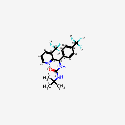 CC(C)(C)NC(=O)NC(c1ccc(C(F)(F)F)cc1)c1ncccc1C(F)(F)F